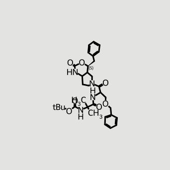 CC(C)(C)OC(=O)NC(C)(C)C(=O)NC(COCc1ccccc1)C(=O)N1CCC2NC(=O)O[C@@H](Cc3ccccc3)C2C1